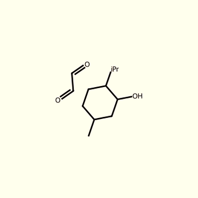 CC1CCC(C(C)C)C(O)C1.O=CC=O